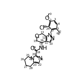 COc1ccc(F)c(-n2ncc3c2COC[C@H]3NC(=O)c2ncc3n2CCCC3)c1Cl